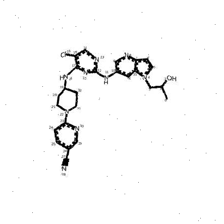 CC(O)Cn1ccc2ncc(Nc3ncc(Cl)c(NC4CCN(c5ccc(C#N)cn5)CC4)n3)cc21